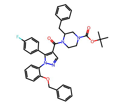 CC(C)(C)OC(=O)N1CCN(C(=O)c2cnn(-c3ccccc3OCc3ccccc3)c2-c2ccc(F)cc2)C(Cc2ccccc2)C1